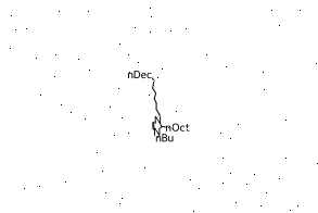 CCCCCCCCCCCCCCCCCN1C=CN(CCCC)C1CCCCCCCC